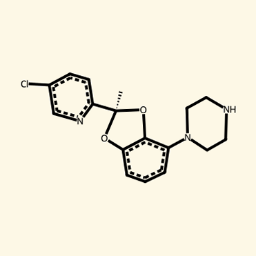 C[C@@]1(c2ccc(Cl)cn2)Oc2cccc(N3CCNCC3)c2O1